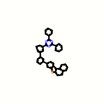 c1ccc(-c2nc(-c3ccccc3)nc(-c3cccc(-c4cccc(-c5ccc6c(c5)sc5ccc7ccccc7c56)c4)c3)n2)cc1